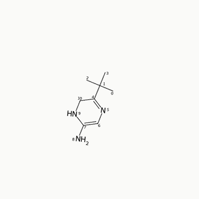 CC(C)(C)C1=NC=C(N)NC1